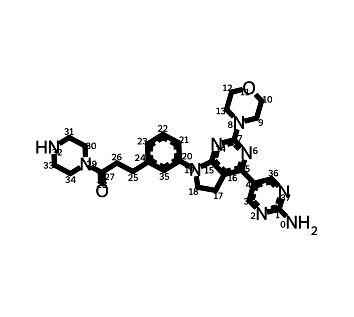 Nc1ncc(-c2nc(N3CCOCC3)nc3c2CCN3c2cccc(CCC(=O)N3CCNCC3)c2)cn1